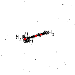 CSCC(NC(=O)CCCCCCCCCCCCCCCCCCN)C(=O)O